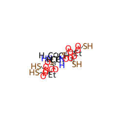 CCC(COC(=O)CCS)(COC(=O)CCS)COC(=O)CCSC(=O)NC(C)(C)c1cccc(C(C)(C)NC(=O)SCCC(=O)OCC(CC)(COC(=O)CCS)COC(=O)CCS)c1